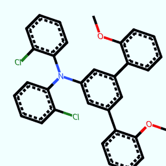 COc1ccccc1-c1cc(-c2ccccc2OC)cc(N(c2ccccc2Cl)c2ccccc2Cl)c1